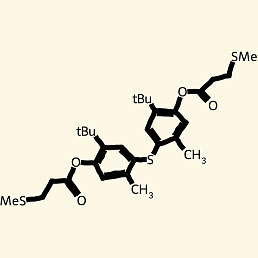 CSCCC(=O)Oc1cc(C)c(Sc2cc(C(C)(C)C)c(OC(=O)CCSC)cc2C)cc1C(C)(C)C